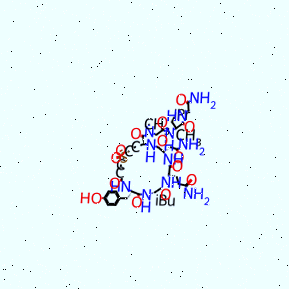 CC[C@H](C)[C@@H]1NC(=O)[C@H](Cc2ccc(O)cc2)NC(=O)CCS(=O)(=O)CC[C@@H](C(=O)N(C)CC(=O)N[C@@](C)(CC(C)C)C(=O)NCC(N)=O)NC(=O)[C@H](CC(N)=O)NC(=O)[C@H](CCC(N)=O)NC1=O